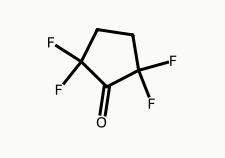 O=C1C(F)(F)CCC1(F)F